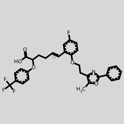 Cc1oc(-c2ccccc2)nc1CCOc1ccc(F)cc1/C=C/CCC(Oc1ccc(C(F)(F)F)cc1)C(=O)O